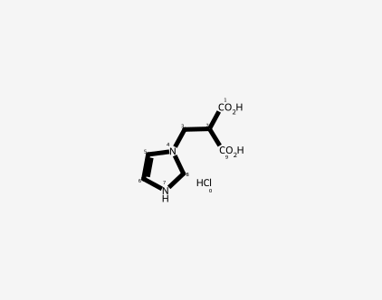 Cl.O=C(O)C(CN1C=CNC1)C(=O)O